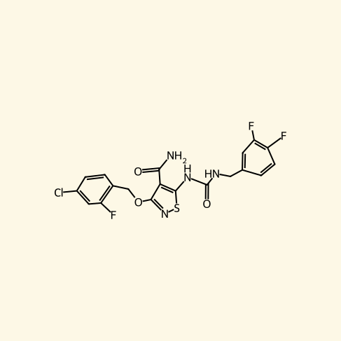 NC(=O)c1c(OCc2ccc(Cl)cc2F)nsc1NC(=O)NCc1ccc(F)c(F)c1